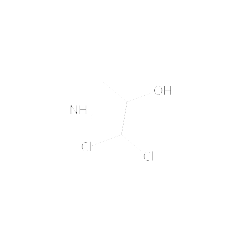 CC(O)C(Cl)Cl.N